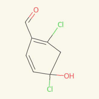 O=CC1=C(Cl)CC(O)(Cl)C=C1